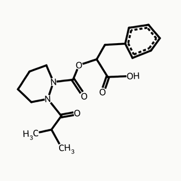 CC(C)C(=O)N1CCCCN1C(=O)OC(Cc1ccccc1)C(=O)O